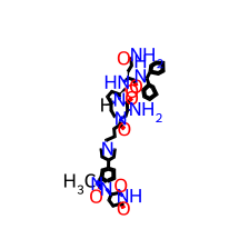 Cn1c(=O)n(C2CCC(=O)NC2=O)c2ccc(C3CCN(CCCC(=O)N4CC[C@H]5CC[C@@H](C(=O)N[C@@H](CCC(N)=O)C(=O)NC(c6ccccc6)c6ccccc6)N5C(=O)[C@@H](N)C4)CC3)cc21